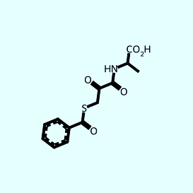 CC(NC(=O)C(=O)CSC(=O)c1ccccc1)C(=O)O